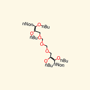 CCCCCCCCCC(OCCCC)=C(COCOCOCC(OCCCC)=C(CCCCCCCCC)OCCCC)OCCCC